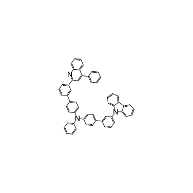 c1ccc(-c2cc(-c3cccc(-c4ccc(N(c5ccccc5)c5ccc(-c6cccc(-n7c8ccccc8c8ccccc87)c6)cc5)cc4)c3)nc3ccccc23)cc1